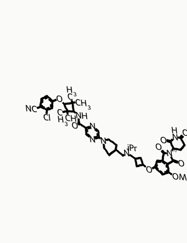 COc1cc(OC2CC(N(CC3CCN(c4cnc(C(=O)NC5C(C)(C)C(Oc6ccc(C#N)c(Cl)c6)C5(C)C)cn4)CC3)C(C)C)C2)cc2c1C(=O)N([C@@H]1CCC(=O)NC1=O)C2=O